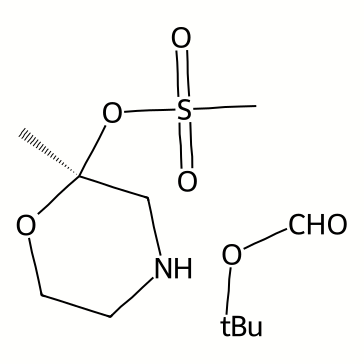 CC(C)(C)OC=O.C[C@]1(OS(C)(=O)=O)CNCCO1